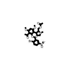 COc1cc(OC)c(C2CCN(C)C2COC(C)=O)c(OC(=O)c2cc([N+](=O)[O-])ccc2Br)c1C(C)=O